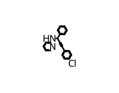 Clc1ccc(C#CC(Nc2ccccn2)c2ccccc2)cc1